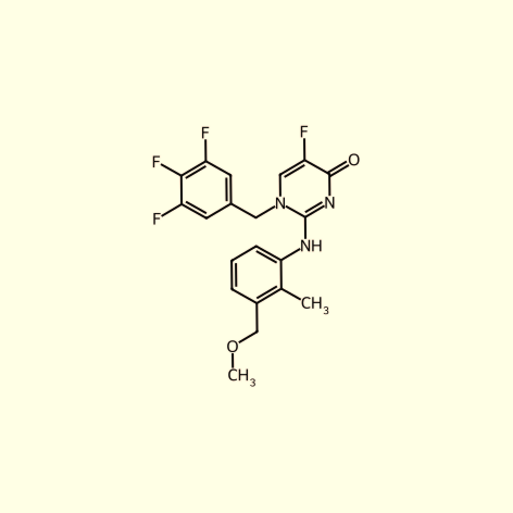 COCc1cccc(Nc2nc(=O)c(F)cn2Cc2cc(F)c(F)c(F)c2)c1C